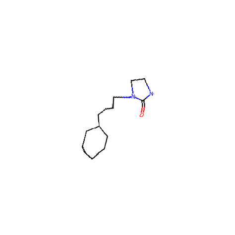 O=C1[N]CCN1CCCC1CCCCC1